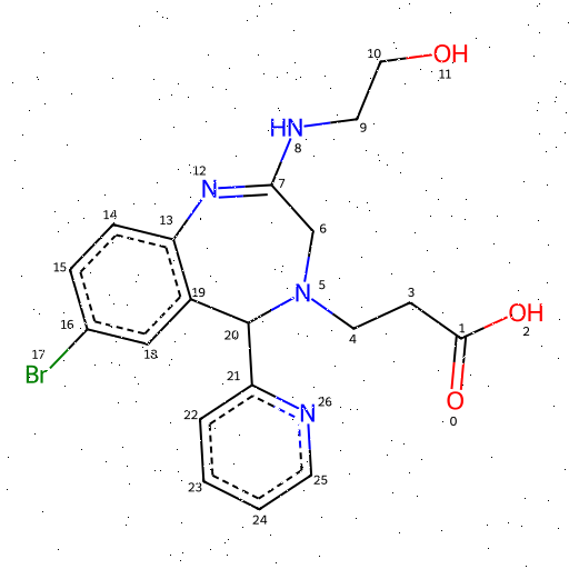 O=C(O)CCN1CC(NCCO)=Nc2ccc(Br)cc2C1c1ccccn1